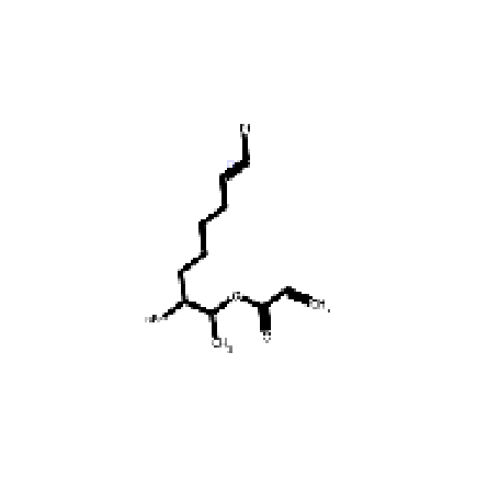 C=CC(=O)OC(C)C(CCC)CCCC/C=C/CC